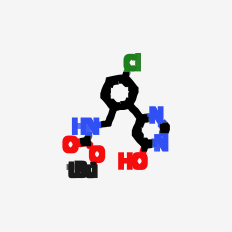 CC(C)(C)OC(=O)NCc1ccc(Cl)cc1-c1cc(O)ncn1